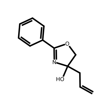 C=CCC1(O)COC(c2ccccc2)=N1